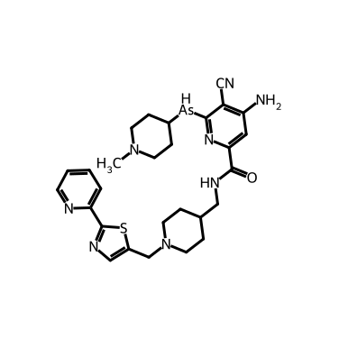 CN1CCC([AsH]c2nc(C(=O)NCC3CCN(Cc4cnc(-c5ccccn5)s4)CC3)cc(N)c2C#N)CC1